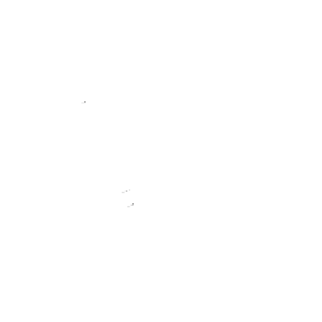 COCOCCCCCCCCCC(=O)OC(=O)CCCCCCCCCOCOC